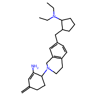 C=C1C=C(N)C(N2CCc3ccc(CC4CCCC4N(CC)CC)cc3C2)CC1